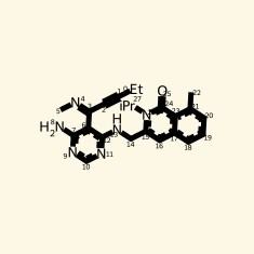 CCC#C/C(=N/C)c1c(N)ncnc1NCc1cc2cccc(C)c2c(=O)n1C(C)C